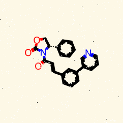 O=C(/C=C/c1cccc(-c2cccnc2)c1)N1C(=O)OC[C@@H]1c1ccccc1